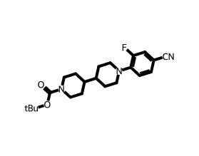 CC(C)(C)OC(=O)N1CCC(C2CCN(c3ccc(C#N)cc3F)CC2)CC1